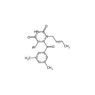 C/C=C/Cn1c(C(=O)c2cc(C)cc(C)c2)c(C(C)C)c(=O)[nH]c1=O